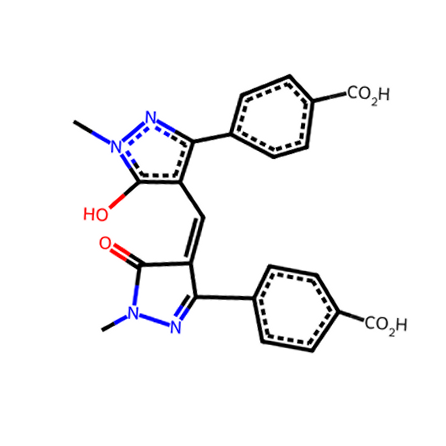 CN1N=C(c2ccc(C(=O)O)cc2)C(=Cc2c(-c3ccc(C(=O)O)cc3)nn(C)c2O)C1=O